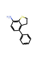 Nc1ccc(-c2ccccc2)c2c1SCC2